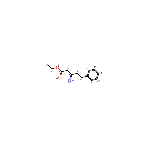 CCOC(=O)CC(=N)CCc1ccccc1